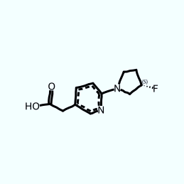 O=C(O)Cc1ccc(N2CC[C@H](F)C2)nc1